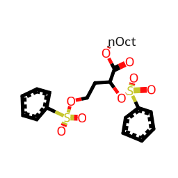 CCCCCCCCOC(=O)C(CCOS(=O)(=O)c1ccccc1)OS(=O)(=O)c1ccccc1